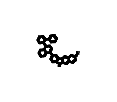 Fc1ccc2cc3sc4ccc(-c5ccc(-c6ccccc6-c6ccccc6)c6ccccc56)cc4c3cc2c1